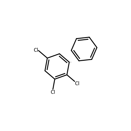 Clc1c[c]c(Cl)c(Cl)c1.c1ccccc1